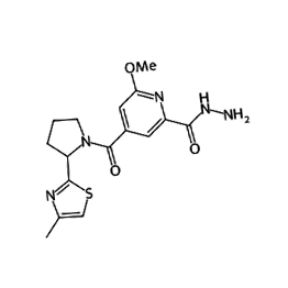 COc1cc(C(=O)N2CCCC2c2nc(C)cs2)cc(C(=O)NN)n1